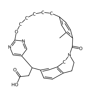 Cc1cc2ccc1C(=O)N1CCc3ccc(cc3C1)C(CC(=O)O)c1cnc(nc1)OCCCCC2